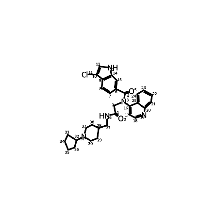 O=C(CN(C(=O)c1ccc2c(Cl)c[nH]c2c1)c1ccnc2ccccc12)NCC1CCN(C2CCCC2)CC1